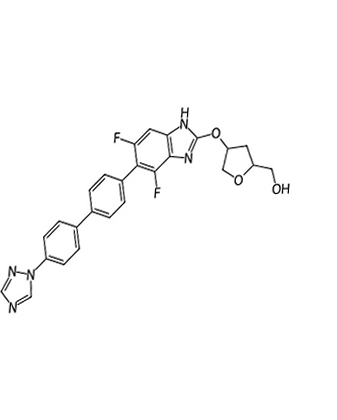 OCC1CC(Oc2nc3c(F)c(-c4ccc(-c5ccc(-n6cncn6)cc5)cc4)c(F)cc3[nH]2)CO1